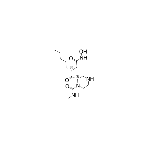 CCCCC[C@H](CC(=O)NO)C(=O)[C@@H]1CNCCN1C(=O)NC